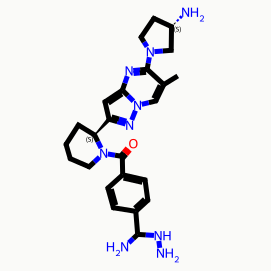 Cc1cn2nc([C@@H]3CCCCN3C(=O)c3ccc(C(N)NN)cc3)cc2nc1N1CC[C@H](N)C1